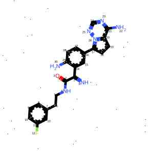 N=C(C(=O)NCCc1cccc(F)c1)c1cc(-c2ccc3c(N)ncnn23)ccc1N